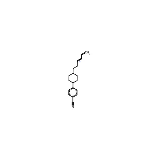 C=C/C=C/CCC1CCC(c2ccc(C#N)cc2)CC1